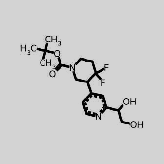 CC(C)(C)OC(=O)N1CCC(F)(F)C(c2ccnc(C(O)CO)c2)C1